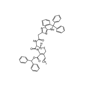 C=CC1=C(C(=O)OC(c2ccccc2)c2ccccc2)N2C(=O)C(NC(=O)Cc3nsc(NC(c4ccccc4)(c4ccccc4)c4ccccc4)n3)[C@@H]2SC1